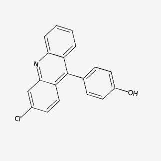 Oc1ccc(-c2c3ccccc3nc3cc(Cl)ccc23)cc1